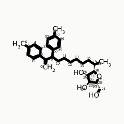 C=C(c1ccc(C)cc1)C(CCCCCCC(C)[C@@H]1O[C@H](CO)[C@@H](O)[C@@H]1O)c1ccc(C)cc1